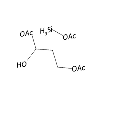 CC(=O)OCCC(O)OC(C)=O.CC(=O)O[SiH3]